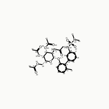 CC(=O)N[C@H]1[C@H](Oc2cccc(C)c2-c2cccc(NS(=O)(=O)N(C)C)c2)O[C@H](COC(C)=O)[C@H](OC(C)=O)[C@@H]1OC(C)=O